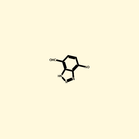 O=Cc1ccc(N=O)c2nn[nH]c12